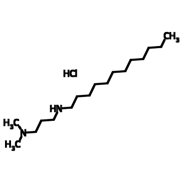 CCCCCCCCCCCCNCCCN(C)C.Cl